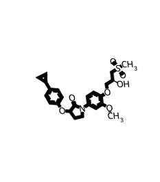 COc1cc(N2CCC(Oc3ccc(C4CC4)cc3)C2=O)ccc1OC[C@@H](O)CS(C)(=O)=O